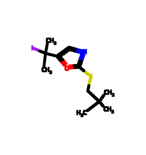 CC(C)(C)CSc1ncc(C(C)(C)I)o1